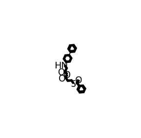 O=C(CCSC(=O)c1ccccc1)OC(=O)CN[C@H]1CC[C@H](c2ccccc2)CC1